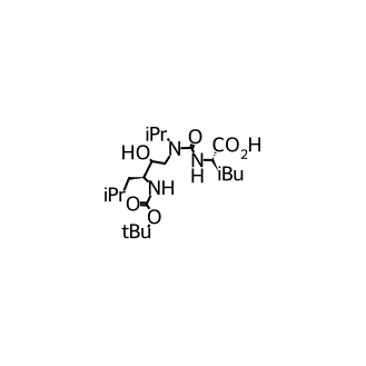 CC[C@H](C)[C@H](NC(=O)N(CC(O)[C@H](CC(C)C)NC(=O)OC(C)(C)C)C(C)C)C(=O)O